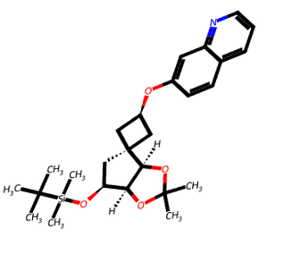 CC1(C)O[C@H]2[C@@H](O[Si](C)(C)C(C)(C)C)C[C@]3(C[C@H](Oc4ccc5cccnc5c4)C3)[C@H]2O1